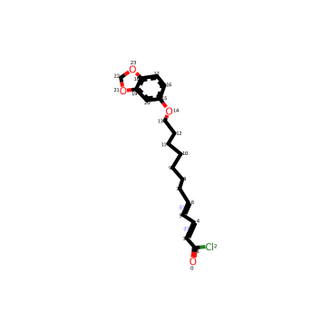 O=C(Cl)/C=C/C=C/CCCCCCCOc1ccc2c(c1)OCO2